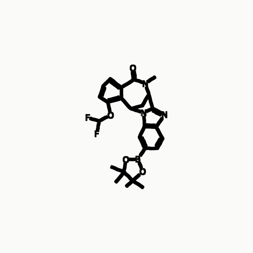 CN1C(=O)c2cccc(OC(F)F)c2C2CC1c1nc3ccc(B4OC(C)(C)C(C)(C)O4)cc3n12